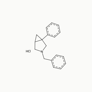 Cl.c1ccc(CN2CC3CC3(c3ccccc3)C2)cc1